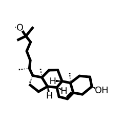 C[C@H](CCCC(C)(C)[O])[C@H]1CC[C@H]2[C@@H]3CC=C4C[C@@H](O)CC[C@]4(C)[C@H]3CC[C@]12C